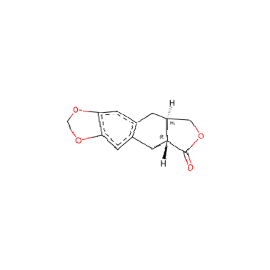 O=C1OC[C@@H]2Cc3cc4c(cc3C[C@@H]12)OCO4